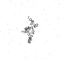 Cc1cc2c(cnn2-c2ccc(F)cc2)cc1[C@@]12CN(S(=O)(=O)c3c[n+](-c4cc(F)ccc4-n4ncc5cc([C@]67CN(S(=O)(=O)c8cnn(C)n8)C[C@H]6[C@@H]7c6nc7ccccc7o6)c(C)cc54)n(C)n3)C[C@@H]1[C@H]2c1nc2ccccc2o1